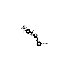 COc1cccc(CCc2cc(NC(=O)c3ccc(NS(C)(=O)=O)cc3)[nH]n2)c1